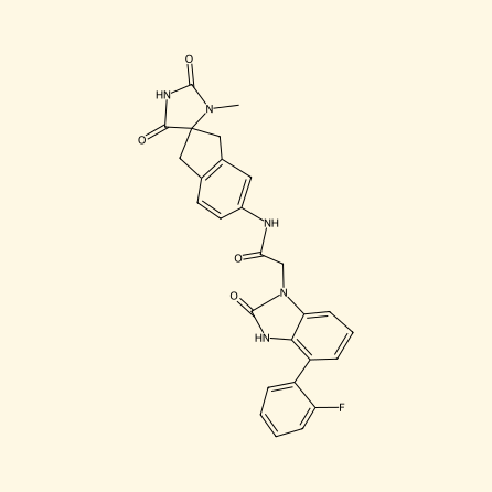 CN1C(=O)NC(=O)C12Cc1ccc(NC(=O)Cn3c(=O)[nH]c4c(-c5ccccc5F)cccc43)cc1C2